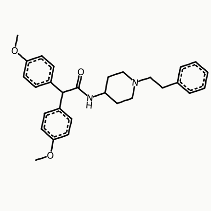 COc1ccc(C(C(=O)NC2CCN(CCc3ccccc3)CC2)c2ccc(OC)cc2)cc1